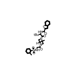 Cc1ccccc1S(=O)(=O)NCC(=O)N1CC2(C)[C@H]1CN2C(=O)C(NC(=O)c1cc2ccccc2s1)C(C)(C)C